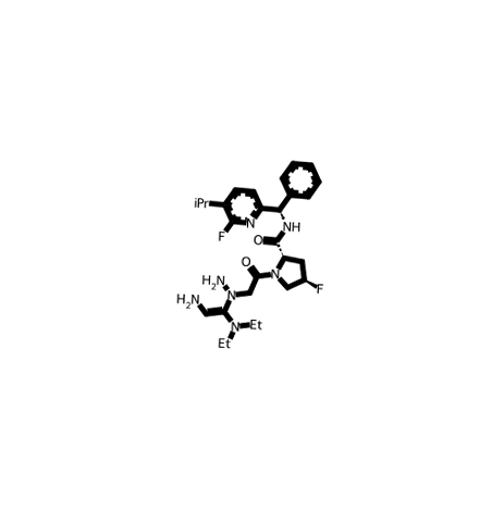 CCN(CC)/C(=C/N)N(N)CC(=O)N1C[C@H](F)C[C@H]1C(=O)N[C@@H](c1ccccc1)c1ccc(C(C)C)c(F)n1